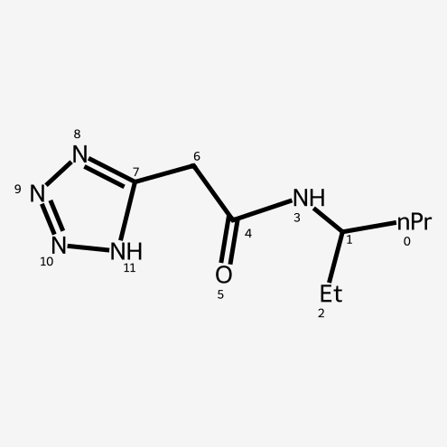 CCCC(CC)NC(=O)Cc1nnn[nH]1